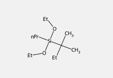 CCC[Si](OCC)(OCC)C(C)(C)CC